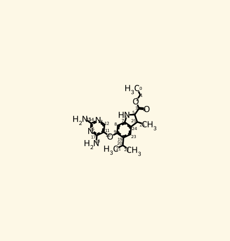 CCOC(=O)C1Nc2cc(Oc3cnc(N)nc3N)c(C(C)C)cc2C1C